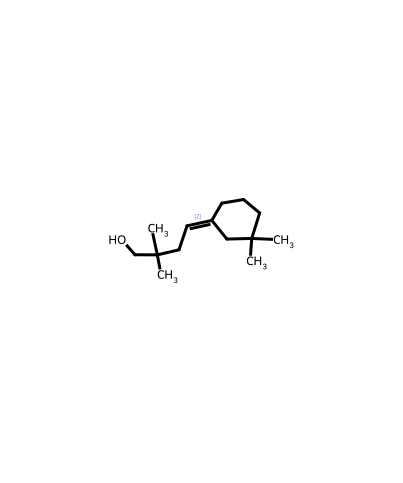 CC(C)(CO)C/C=C1/CCCC(C)(C)C1